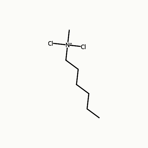 CCCCCC[N+](C)(Cl)Cl